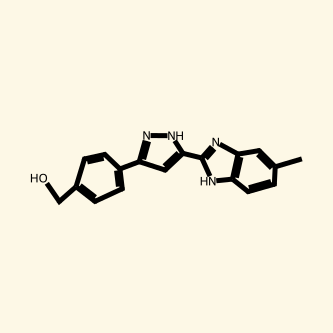 Cc1ccc2[nH]c(-c3cc(-c4ccc(CO)cc4)n[nH]3)nc2c1